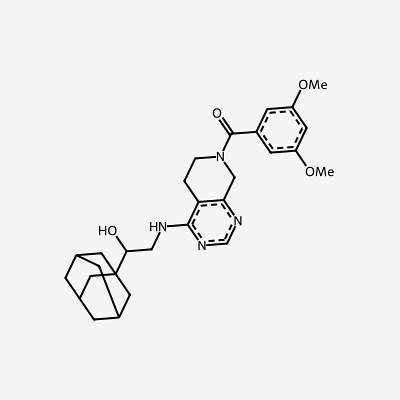 COc1cc(OC)cc(C(=O)N2CCc3c(ncnc3NCC(O)C34CC5CC(CC(C5)C3)C4)C2)c1